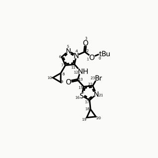 CC(C)(C)OC(=O)n1ncc(C2CC2)c1NC(=O)c1sc(C2CC2)nc1Br